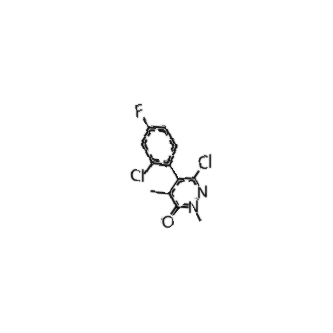 Cc1c(-c2ccc(F)cc2Cl)c(Cl)nn(C)c1=O